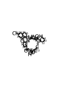 C[C@@H]1[C@@H](C)CCC[C@H]([C@@H](O)c2ccccc2)[C@@H]2CC[C@H]2CN2C[C@@]3(CCCc4cc(Cl)ccc43)COc3ccc(cc32)C(=O)NS1(=O)=O